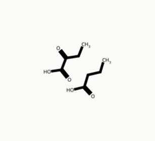 CCC(=O)C(=O)O.CCCC(=O)O